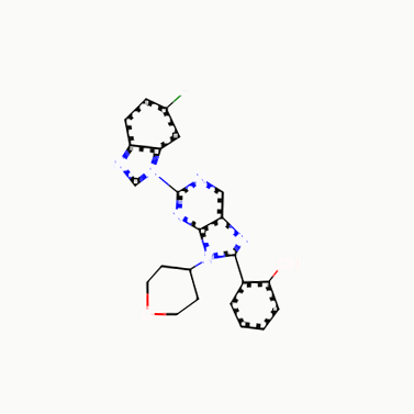 Oc1ccccc1-c1nc2cnc(-n3cnc4ccc(F)cc43)nc2n1C1CCOCC1